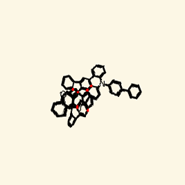 c1ccc(-c2ccc(N(c3ccc(-c4ccc5c(c4)C4(c6ccccc6Oc6ccccc64)c4ccccc4-5)cc3)c3ccccc3-c3ccc4c(c3)-c3ccccc3C43c4ccccc4Oc4ccccc43)cc2)cc1